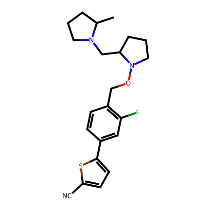 CC1CCCN1CC1CCCN1OCc1ccc(-c2ccc(C#N)s2)cc1F